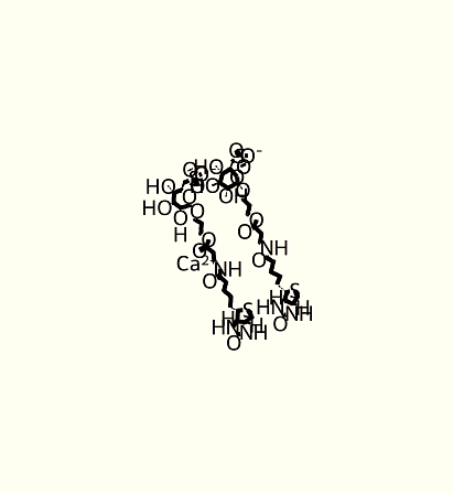 O=C(CCCC[C@@H]1SC[C@@H]2NC(=O)N[C@@H]21)NCCC(=O)OCCCO[C@H]1O[C@H](CS(=O)(=O)[O-])[C@@H](O)[C@H](O)[C@H]1O.O=C(CCCC[C@@H]1SC[C@@H]2NC(=O)N[C@@H]21)NCCC(=O)OCCCO[C@H]1O[C@H](CS(=O)(=O)[O-])[C@@H](O)[C@H](O)[C@H]1O.[Ca+2]